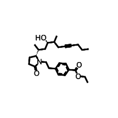 CCCC#CCC(C)[C@@H](O)CC(C)[C@H]1CCC(=O)N1CCc1ccc(C(=O)OCC)cc1